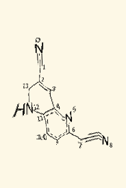 N#CC1=Cc2nc(C#N)ccc2NC1